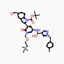 Cc1ccc(Cn2cc(C(O)Nc3cc(-c4cc5cc(C=O)ccc5n4C(=O)OC(C)(C)C)c(=O)n(COCC[Si](C)(C)C)c3)cn2)cc1